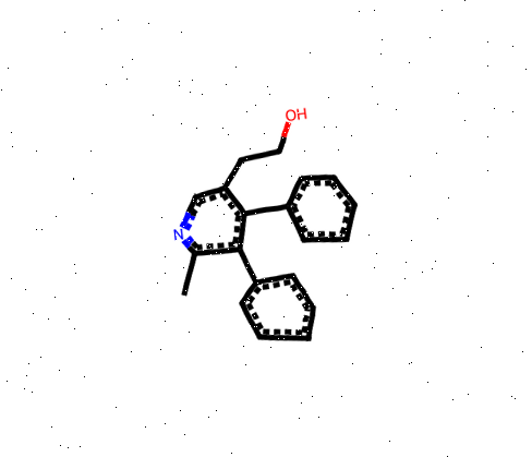 Cc1n[c]c(CCO)c(-c2ccccc2)c1-c1ccccc1